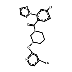 N#Cc1ccnc(O[C@@H]2CCCN(C(=O)c3ccc(Cl)cc3-n3nccn3)C2)c1